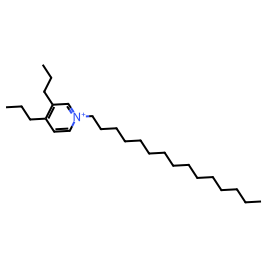 CCCCCCCCCCCCCCC[n+]1ccc(CCC)c(CCC)c1